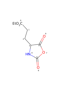 CCOC(=O)CCC1NC(=O)OC1=O